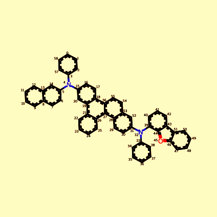 c1ccc(N(c2ccc3ccccc3c2)c2ccc3c(c2)c2ccccc2c2c4ccc(N(c5ccccc5)c5cccc6c5oc5ccccc56)cc4ccc32)cc1